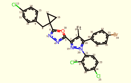 CCc1c(-c2nnc(C3(Cc4ccc(Cl)cc4)CC3)o2)nn(-c2ccc(Cl)cc2Cl)c1-c1ccc(Br)cc1